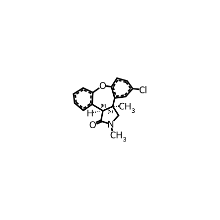 CN1C[C@]2(C)c3cc(Cl)ccc3Oc3ccccc3[C@@H]2C1=O